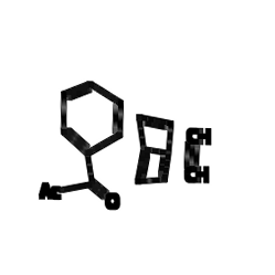 C#C.CC(=O)C(=O)c1ccccc1.c1cc2ccc1-2